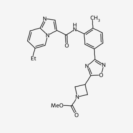 CCc1ccc2ncc(C(=O)Nc3cc(-c4noc(C5CN(C(=O)OC)C5)n4)ccc3C)n2c1